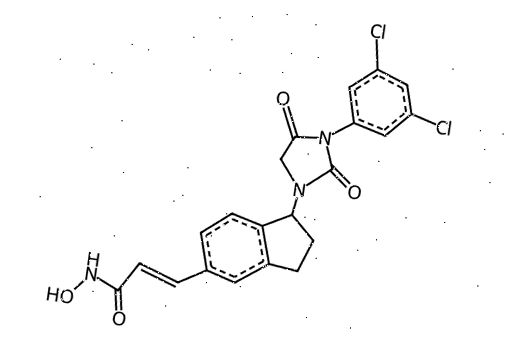 O=C(/C=C/c1ccc2c(c1)CCC2N1CC(=O)N(c2cc(Cl)cc(Cl)c2)C1=O)NO